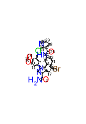 NC(=O)c1nn(-c2ccc3c(c2)OCO3)c2c1cc(Br)c1ccc(NC(=O)c3cccnc3Cl)cc12